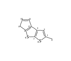 Cc1cc2c3c(sc2s1)CC=C3